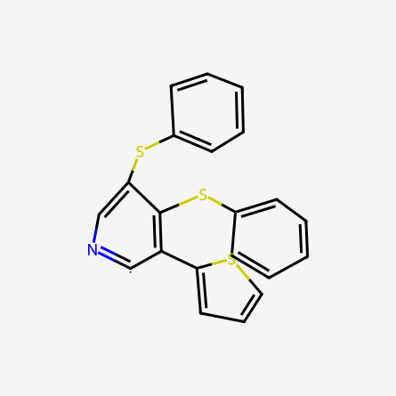 [c]1ncc(Sc2ccccc2)c(Sc2ccccc2)c1-c1cccs1